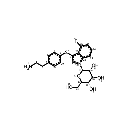 NCCc1ccc(Sc2cn([C@@H]3O[C@H](CO)[C@@H](O)[C@H](O)[C@H]3O)c3cccc(F)c23)cc1